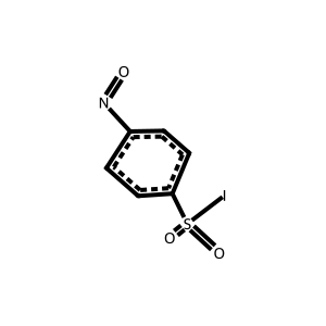 O=Nc1ccc(S(=O)(=O)I)cc1